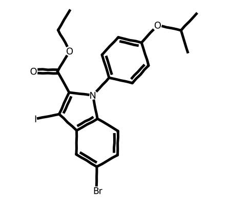 CCOC(=O)c1c(I)c2cc(Br)ccc2n1-c1ccc(OC(C)C)cc1